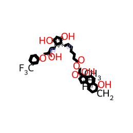 C=C1CC[C@@H]2C(=CC[C@@]3(C)[C@H]2CC[C@]3(O)C(=O)COC(=O)CCC/C=C\C[C@@H]2[C@@H](/C=C/[C@@H](O)COc3cccc(C(F)(F)F)c3)[C@H](O)C[C@@H]2O)C1O